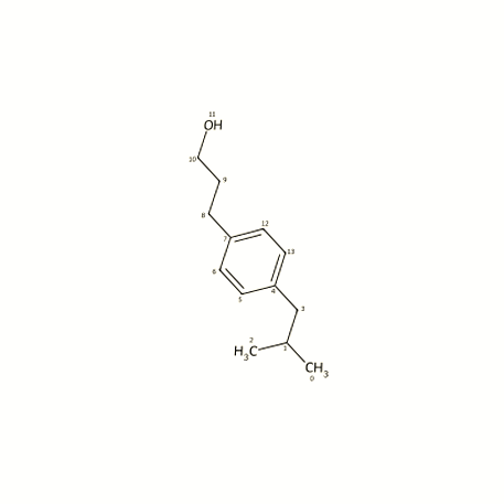 CC(C)Cc1ccc(CCCO)cc1